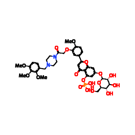 COc1ccc(-c2cc(=O)c3c(OP(=O)(O)O)cc(OC4O[C@H](CO)[C@@H](O)[C@H](O)[C@H]4O)cc3o2)cc1OCC(=O)N1CCN(Cc2ccc(OC)c(OC)c2OC)CC1